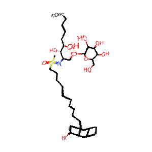 CCCCCCCCCCCCCC[C@@H](O)[C@@H](O)C(COC1OC(CO)C(O)C(O)C1O)N=S(C)(=O)CCCCCCCCCCC12C3C4C5C3C1C5(Br)C42